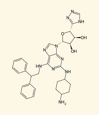 NC1CCC(Nc2nc(NCC(c3ccccc3)c3ccccc3)c3ncn([C@@H]4O[C@H](c5nnc[nH]5)[C@@H](O)[C@H]4O)c3n2)CC1